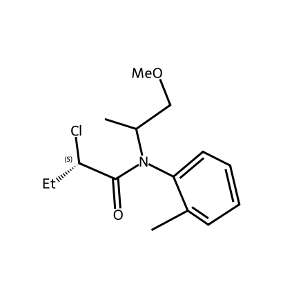 CC[C@H](Cl)C(=O)N(c1ccccc1C)C(C)COC